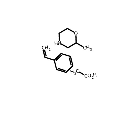 C=Cc1ccccc1.CC(=O)O.CC1CNCCO1